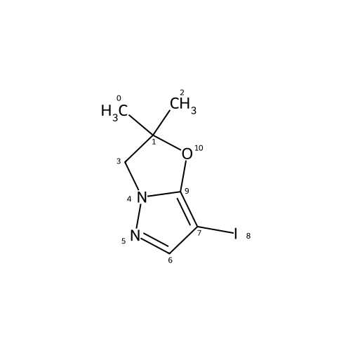 CC1(C)Cn2ncc(I)c2O1